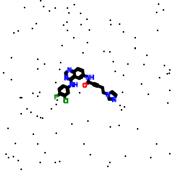 O=C(C#CCCn1ccnc1)Nc1ccc2ncnc(Nc3ccc(F)c(Cl)c3)c2c1